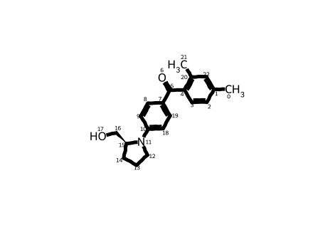 Cc1ccc(C(=O)c2ccc(N3CCC[C@H]3CO)cc2)c(C)c1